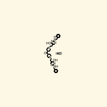 Cl.Cl.O=C(C1CCN(CCc2cnc(NCc3ccccc3)nc2O)CC1)C1CCN(CCc2cnc(NCc3ccccc3)nc2O)CC1